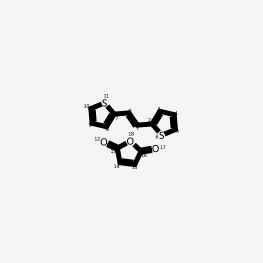 C(=Cc1cccs1)c1cccs1.O=C1C=CC(=O)O1